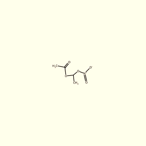 CC(=O)OC(C)O[N+](=O)[O-]